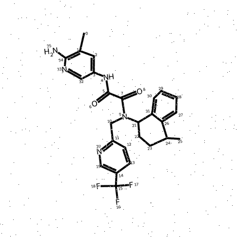 Cc1cc(NC(=O)C(=O)N(Cc2ccc(C(F)(F)F)cn2)C2CCC(C)c3ccccc32)cnc1N